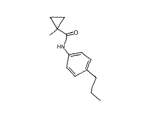 CCCc1ccc(NC(=O)C2(C)CC2)cc1